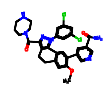 COc1cc2c(cc1-c1cncc(C(N)=O)c1)-c1c(c(C(=O)N3CCCNCC3)nn1-c1cc(Cl)cc(Cl)c1)CC2